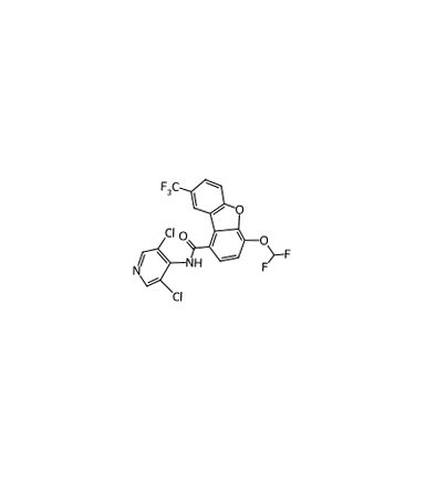 O=C(Nc1c(Cl)cncc1Cl)c1ccc(OC(F)F)c2oc3ccc(C(F)(F)F)cc3c12